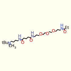 CCC(=O)NCCCOCCOCCOCCCNC(=O)CCCC(=O)NCCCCN(C)C(C)(C)C